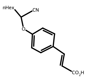 CCCCCCC(C#N)Oc1ccc(C=CC(=O)O)cc1